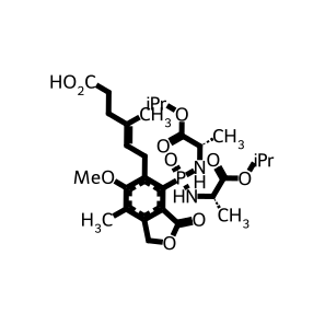 COc1c(C)c2c(c(P(=O)(N[C@@H](C)C(=O)OC(C)C)N[C@@H](C)C(=O)OC(C)C)c1C/C=C(\C)CCC(=O)O)C(=O)OC2